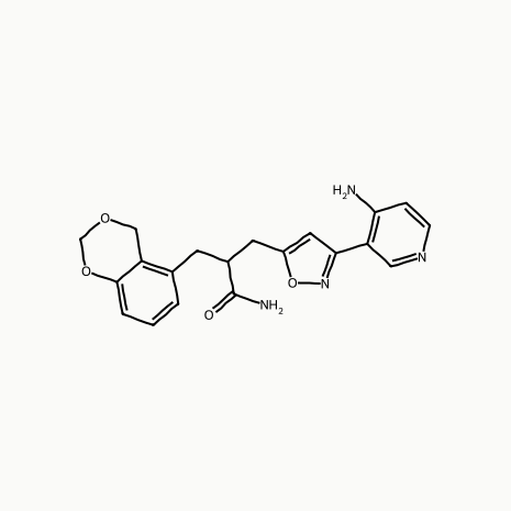 NC(=O)C(Cc1cc(-c2cnccc2N)no1)Cc1cccc2c1COCO2